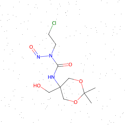 CC1(C)OCC(CO)(NC(=O)N(CCCl)N=O)CO1